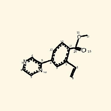 C=Cc1cc(-c2cnccn2)ccc1C(=O)OC